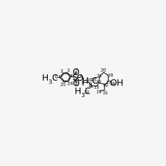 Cc1ccc(S(=O)(=O)OCC[C@@H](C)[C@H]2CCC3[C@@H](O)CCC[C@@]32C)cc1